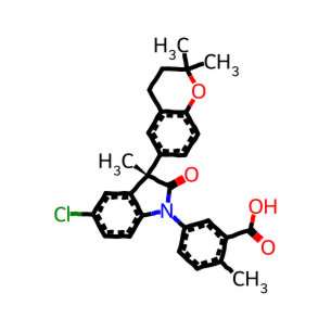 Cc1ccc(N2C(=O)[C@@](C)(c3ccc4c(c3)CCC(C)(C)O4)c3cc(Cl)ccc32)cc1C(=O)O